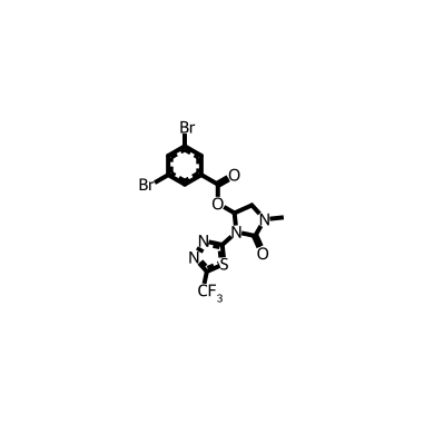 CN1CC(OC(=O)c2cc(Br)cc(Br)c2)N(c2nnc(C(F)(F)F)s2)C1=O